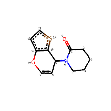 O=C1CCCCN1C1C=COc2ccsc21